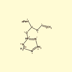 C=COC(CCCCC)O[PH]1=N[PH2]=N[PH2]=N1